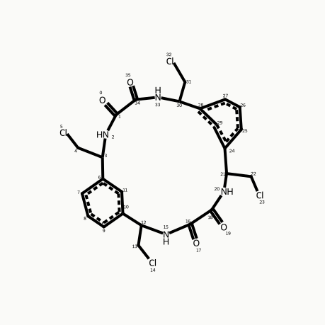 O=C1NC(CCl)c2cccc(c2)C(CCl)NC(=O)C(=O)NC(CCl)c2cccc(c2)C(CCl)NC1=O